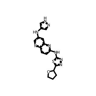 c1n[nH]cc1Nc1cnc2ccc(Nc3nnc(C4CCCO4)s3)nc2c1